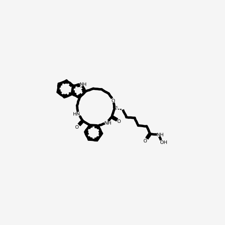 O=C(CCCCC[C@H]1OCCCc2[nH]c3ccccc3c2CNC(=O)c2ccccc2NC1=O)NO